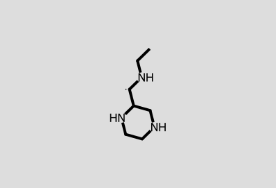 CCN[CH]C1CNCCN1